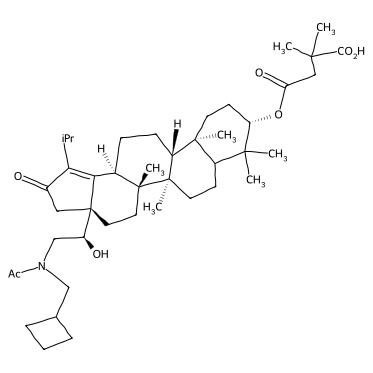 CC(=O)N(CC1CCC1)C[C@H](O)[C@@]12CC[C@]3(C)[C@H](CC[C@@H]4[C@@]5(C)CC[C@H](OC(=O)CC(C)(C)C(=O)O)C(C)(C)C5CC[C@]43C)C1=C(C(C)C)C(=O)C2